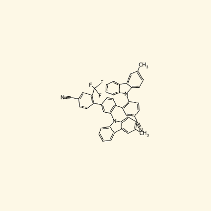 Cc1ccc2c(c1)c1ccccc1n2-c1ccc(C#N)cc1-c1ccc(-c2ccc(C#N)cc2C(F)(F)F)cc1-n1c2ccccc2c2cc(C)ccc21